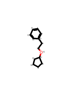 [c]1ccc(CCOC2CCCC2)cc1